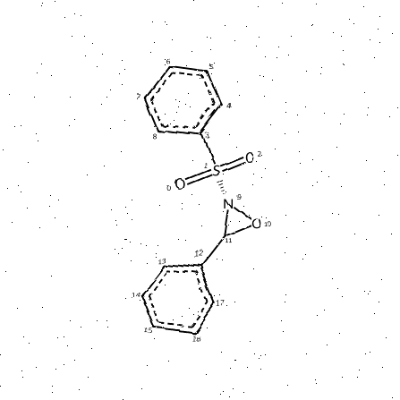 O=S(=O)(c1ccccc1)[N@]1OC1c1ccccc1